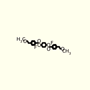 COCCc1ccc(C(=O)OC2CCC(OC(=O)c3ccc(CCOC)cc3F)CC2)c(F)c1